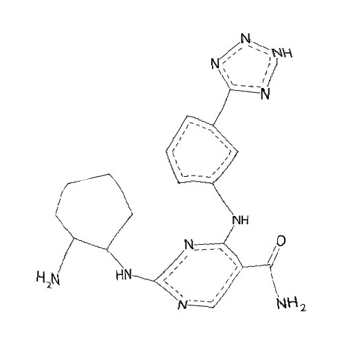 NC(=O)c1cnc(NC2CCCCC2N)nc1Nc1cccc(-c2nn[nH]n2)c1